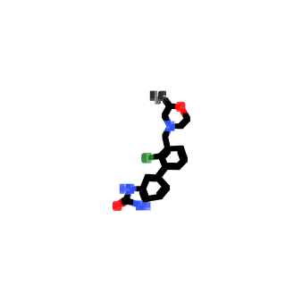 O=c1[nH]c2ccc(-c3cccc(CN4CCOC(C(F)(F)F)C4)c3Cl)cc2[nH]1